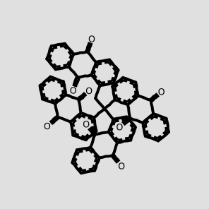 O=C1c2ccccc2C(=O)c2c(CC(c3cccc4c3C(=O)c3ccccc3C4=O)(c3cccc4c3C(=O)c3ccccc3C4=O)c3cccc4c3C(=O)c3ccccc3C4=O)cccc21